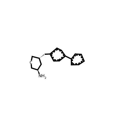 N[C@H]1CCC[C@H](Cc2ccc(-c3ccccc3)cc2)C1